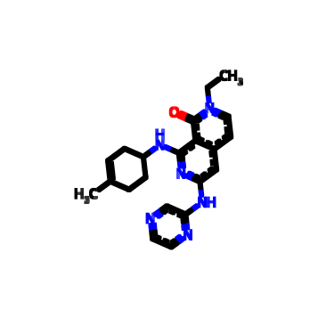 CCn1ccc2cc(Nc3cnccn3)nc(NC3CC=C(C)CC3)c2c1=O